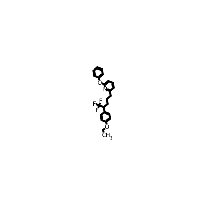 CCOc1ccc(C(CCCc2cccc(Oc3ccccc3)n2)C(F)(F)F)cc1